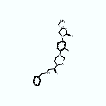 NC[C@H]1CN(c2ccc(N3CCNN(C(=O)CNCc4ccncc4)CC3)c(F)c2)C(=O)O1